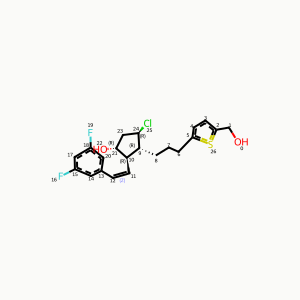 OCc1ccc(CCC[C@@H]2[C@@H](/C=C\c3cc(F)cc(F)c3)[C@H](O)C[C@H]2Cl)s1